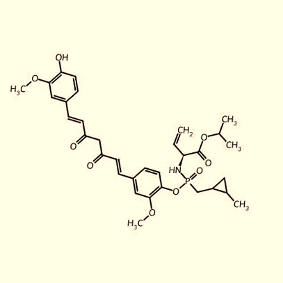 C=C[C@H](NP(=O)(CC1CC1C)Oc1ccc(/C=C/C(=O)CC(=O)/C=C/c2ccc(O)c(OC)c2)cc1OC)C(=O)OC(C)C